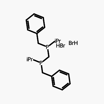 Br.Br.CC(C)P(Cc1ccccc1)CP(Cc1ccccc1)C(C)C